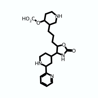 O=C(O)OC1CCNCC1CCCC1OC(=O)NC1C1CCNC(c2ccccn2)C1